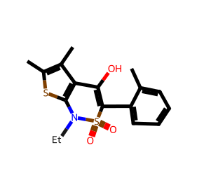 CCN1c2sc(C)c(C)c2C(O)=C(c2ccccc2C)S1(=O)=O